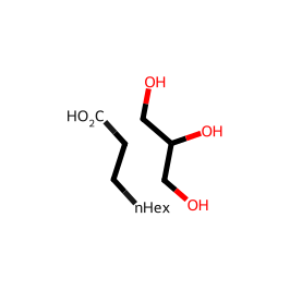 CCCCCCCCC(=O)O.OCC(O)CO